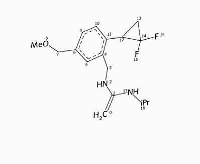 C=C(NCc1cc(COC)ccc1C1CC1(F)F)NC(C)C